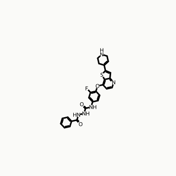 O=C(NNC(=O)c1ccccc1)Nc1ccc(Oc2ccnc3cc(C4=CCNCC4)sc23)c(F)c1